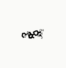 CSc1nc(O)c2c(n1)CC(c1c(C)ccc3c1cnn3C1CCCCO1)CCC2